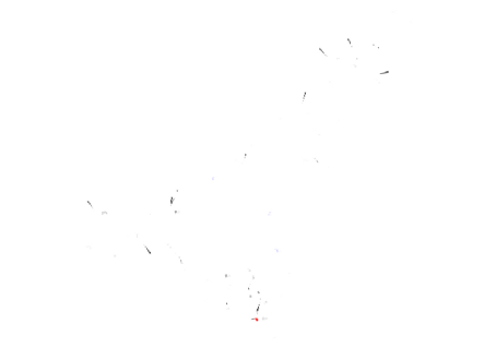 CCC(C)[C@H]1O[C@]2(C=C[C@@H]1C)C[C@@H]1C[C@@H](C/C=C(\C)[C@@H](OC3C[C@H](OC)[C@@H](OC4C[C@H](OC)[C@@](C)(NCC(C)=O)[C@H](C)O4)[C@H](C)O3)C(C)/C=C/C=C3\CO[C@@H]4[C@H](O)C(C)=C[C@@H](C(=O)O1)[C@]34O)O2